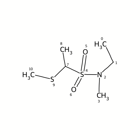 CCN(C)S(=O)(=O)C(C)SC